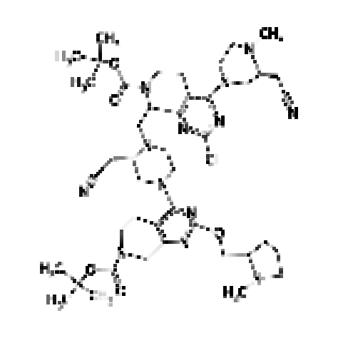 CN1CCC[C@H]1COc1nc2c(c(N3CCN(CC4c5nc(Cl)nc(N6CCN(C)[C@@H](CC#N)C6)c5CCN4C(=O)OC(C)(C)C)[C@@H](CC#N)C3)n1)CCN(C(=O)OC(C)(C)C)C2